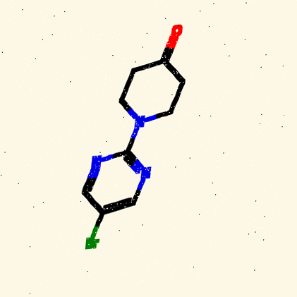 O=C1CCN(c2ncc(Br)cn2)CC1